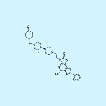 Nc1nc2c(sc(=O)n2CCN2CCN(c3ccc(O[C@H]4CC[S@+]([O-])CC4)cc3F)CC2)c2cc(-c3ccco3)nn12